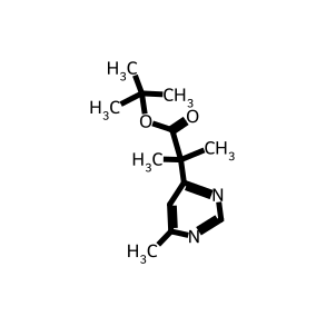 Cc1cc(C(C)(C)C(=O)OC(C)(C)C)ncn1